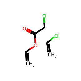 C=CCl.C=COC(=O)CCl